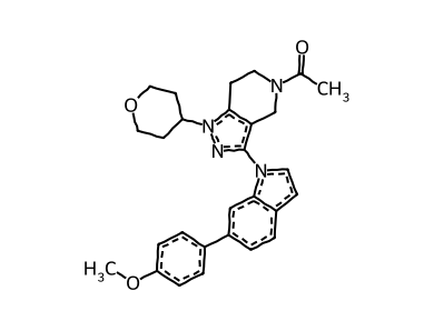 COc1ccc(-c2ccc3ccn(-c4nn(C5CCOCC5)c5c4CN(C(C)=O)CC5)c3c2)cc1